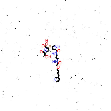 C[C@H]1C(S[C@@H]2CN[C@H](C(=O)NCCCNC(=O)COCCCCC3C=NC=CC3)C2)=C(C(=O)O)N2C(=O)[C@H]([C@@H](C)O)C12